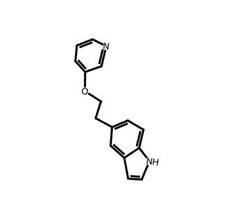 c1cncc(OCCc2ccc3[nH]ccc3c2)c1